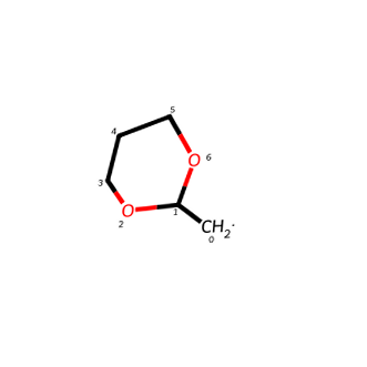 [CH2]C1OCCCO1